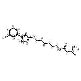 C/C(N)=C/C(=O)OCCCCCCOc1cc(-c2cccc(F)c2)[nH]n1